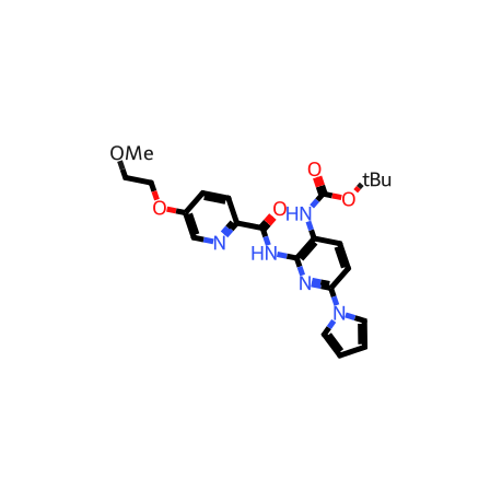 COCCOc1ccc(C(=O)Nc2nc(-n3cccc3)ccc2NC(=O)OC(C)(C)C)nc1